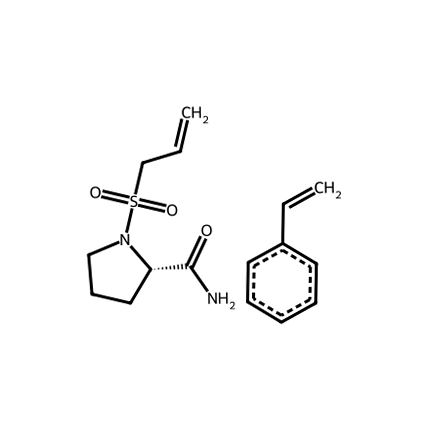 C=CCS(=O)(=O)N1CCC[C@H]1C(N)=O.C=Cc1ccccc1